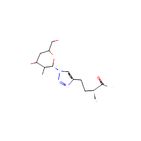 COC(=O)[C@H](CCc1cn([C@@H]2OC(CO)[C@@H](O)C(O)C2NC(C)=O)nn1)NC(C)=O